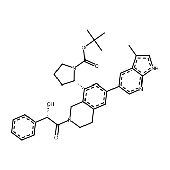 Cc1c[nH]c2ncc(-c3cc4c(c([C@@H]5CCCN5C(=O)OC(C)(C)C)c3)CN(C(=O)[C@@H](O)c3ccccc3)CC4)cc12